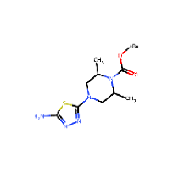 CC1CN(c2nnc(N)s2)CC(C)N1C(=O)OC(C)(C)C